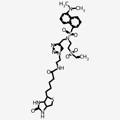 C=CS(=O)(=O)CCN(Cc1cn(CCNC(=O)CCCCC2SCC3NC(=O)NC32)nn1)S(=O)(=O)c1cccc2c(N(C)C)cccc12